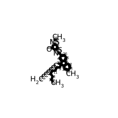 C=C=C=C=C=C=C=CC1(CCCCCCCC)c2cc(C)ccc2-c2ccc(-c3nc4c(s3)-c3sc(C)nc3C4=O)cc21